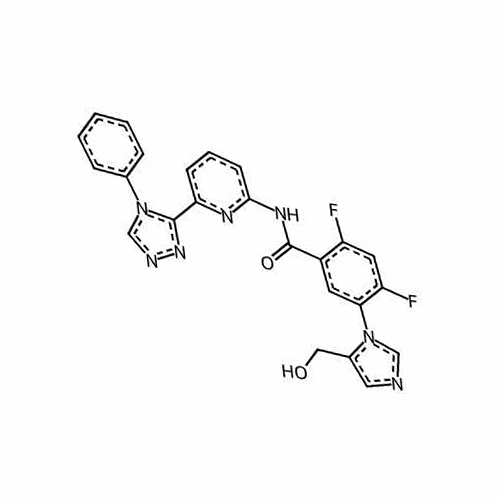 O=C(Nc1cccc(-c2nncn2-c2ccccc2)n1)c1cc(-n2cncc2CO)c(F)cc1F